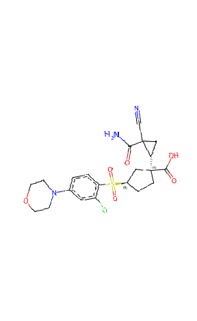 N#CC1(C(N)=O)CC1[C@]1(C(=O)O)CC[C@@H](S(=O)(=O)c2ccc(N3CCOCC3)cc2Cl)C1